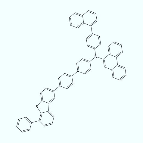 c1ccc(-c2cccc3c2sc2ccc(-c4ccc(-c5ccc(N(c6ccc(-c7cccc8ccccc78)cc6)c6cc7ccccc7c7ccccc67)cc5)cc4)cc23)cc1